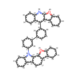 c1cc(-c2cccc(-n3c4ccccc4c4ccc5c6ccccc6oc5c43)c2)cc(-c2c3ccccc3nc3oc4ccccc4c23)c1